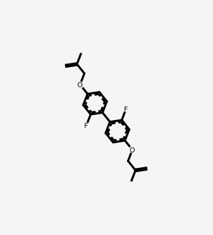 C=C(C)COc1ccc(-c2ccc(OCC(=C)C)cc2F)c(F)c1